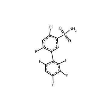 NS(=O)(=O)c1cc(-c2c(F)cc(F)c(F)c2F)c(F)cc1Cl